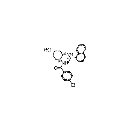 C[C@@H](N[C@H]1CCCC[C@@H]1NC(=O)c1ccc(Cl)cc1)c1cccc2ccccc12.Cl